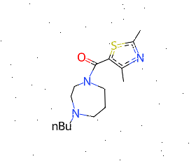 CCCCN1CCCN(C(=O)c2sc(C)nc2C)CC1